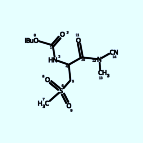 CC(C)COC(=O)NC(CS(C)(=O)=O)C(=O)N(C)C#N